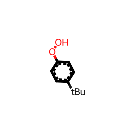 CC(C)(C)c1ccc(OO)cc1